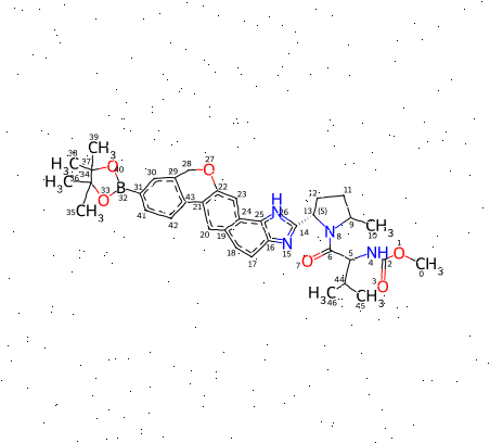 COC(=O)NC(C(=O)N1C(C)CC[C@H]1c1nc2ccc3cc4c(cc3c2[nH]1)OCc1cc(B2OC(C)(C)C(C)(C)O2)ccc1-4)C(C)C